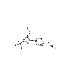 NCc1ccc(-c2nc(C(F)(F)F)cn2CCF)cc1